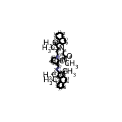 CN(C)C(=O)CCN1c2ccc3ccccc3c2C(C)(C)C1C/C=C1C=C(/C=C/C2=[N+](C)c3ccc4ccccc4c3C2(C)C)CCC/1